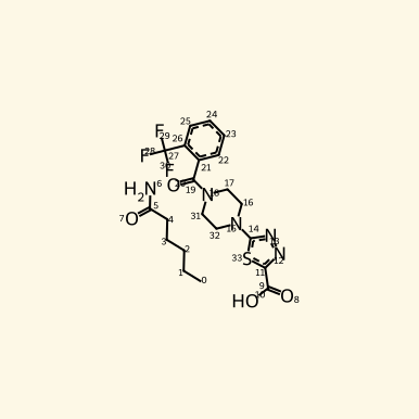 CCCCCC(N)=O.O=C(O)c1nnc(N2CCN(C(=O)c3ccccc3C(F)(F)F)CC2)s1